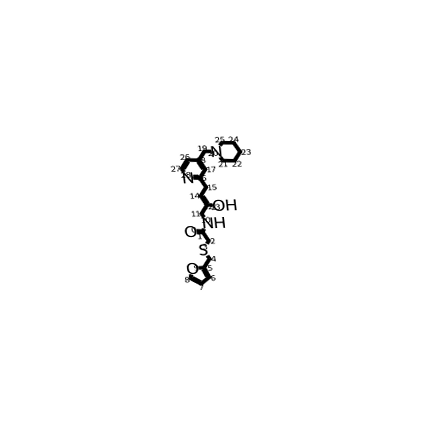 O=C(CSCc1ccco1)NCC(O)=CCc1cc(CN2CCCCC2)ccn1